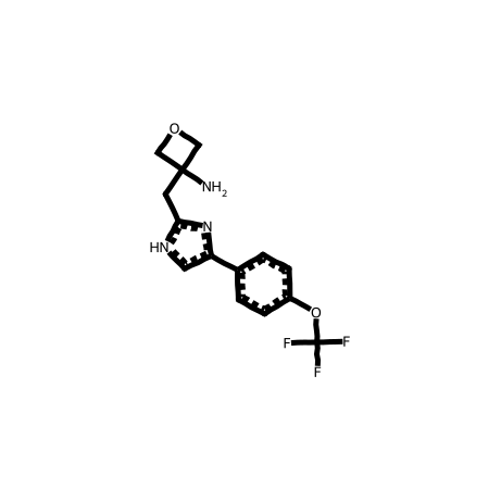 NC1(Cc2nc(-c3ccc(OC(F)(F)F)cc3)c[nH]2)COC1